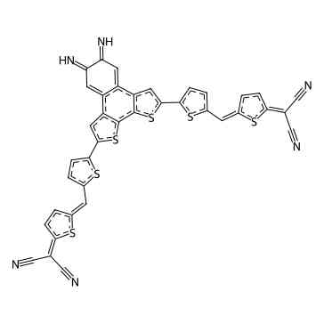 N#CC(C#N)=c1cc/c(=C\c2ccc(-c3cc4c5c(c6cc(-c7ccc(/C=c8\ccc(=C(C#N)C#N)s8)s7)sc6c4s3)=CC(=N)C(=N)C=5)s2)s1